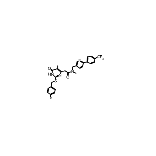 Cc1c(CC(=O)N(C)Cc2ccc(-c3ccc(C(F)(F)F)cc3)nc2)nc(SCc2ccc(F)cc2)[nH]c1=O